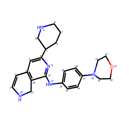 C1=Cc2cc(C3CCCNC3)nc(Nc3ccc(N4CCOCC4)cc3)c2CN1